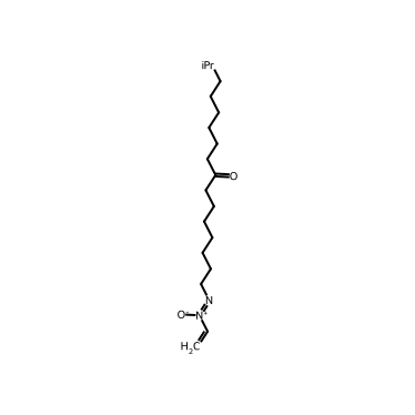 C=C[N+]([O-])=NCCCCCCCC(=O)CCCCCCC(C)C